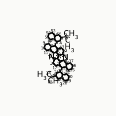 CC(C)c1cc(-c2c3ccccc3c3nc4ccc5c(-c6cc(C(C)C)cc7ccccc67)c6ccccc6c6nc7ccc2c3c7c4c56)c2ccccc2c1